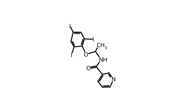 CC(NC(=O)c1cccnc1)Oc1c(I)cc(I)cc1I